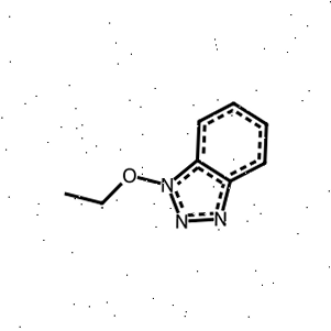 C[CH]On1nnc2ccccc21